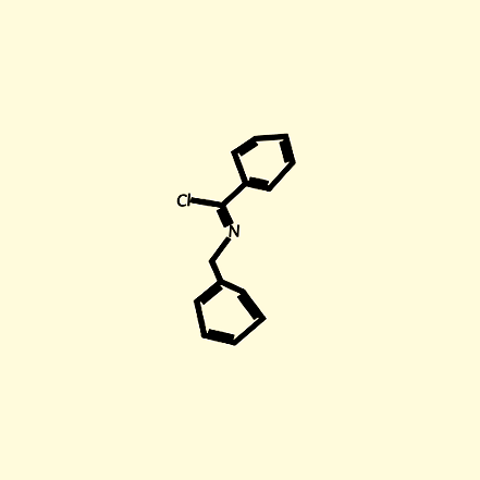 ClC(=NCc1ccccc1)c1ccccc1